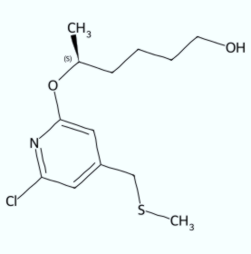 CSCc1cc(Cl)nc(O[C@@H](C)CCCCO)c1